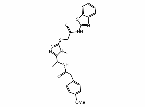 COc1ccc(CC(=O)NC(C)c2nnc(SCC(=O)Nc3nc4ccccc4s3)n2C)cc1